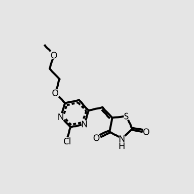 COCCOc1cc(/C=C2/SC(=O)NC2=O)nc(Cl)n1